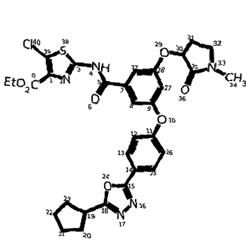 CCOC(=O)c1nc(NC(=O)c2cc(Oc3ccc(-c4nnc(C5CCCC5)o4)cc3)cc(OC3CCN(C)C3=O)c2)sc1Cl